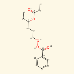 C=CC(=O)OC(CC)CCCOOC(=O)c1ccccc1